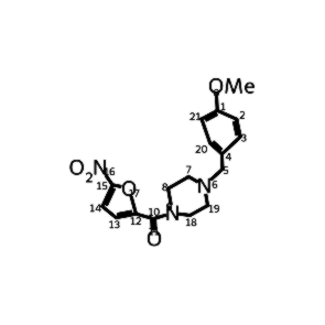 COc1ccc(CN2CCN(C(=O)c3ccc([N+](=O)[O-])o3)CC2)cc1